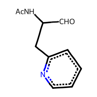 CC(=O)NC(C=O)Cc1ccccn1